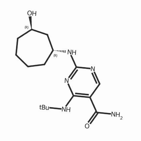 CC(C)(C)Nc1nc(N[C@@H]2CCCC[C@@H](O)C2)ncc1C(N)=O